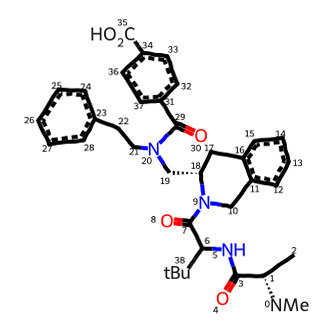 CN[C@@H](C)C(=O)NC(C(=O)N1Cc2ccccc2C[C@H]1CN(CCc1ccccc1)C(=O)c1ccc(C(=O)O)cc1)C(C)(C)C